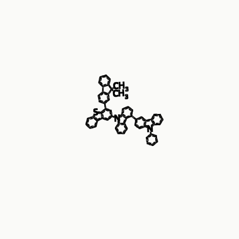 CC1(C)c2ccccc2-c2ccc(-c3cc(-n4c5ccccc5c5c(-c6ccc7c(c6)c6ccccc6n7-c6ccccc6)cccc54)cc4c3sc3ccccc34)cc21